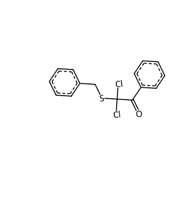 O=C(c1ccccc1)C(Cl)(Cl)SCc1ccccc1